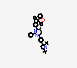 CC1CC/C(c2ccc(-c3ccc(C(C)(C)C)nc3C(C)(C)C)cc2)=N\C(c2ccccc2)=N/C1c1ccc2c(c1)C1(c3ccccc3Oc3ccccc31)c1ccccc1-2